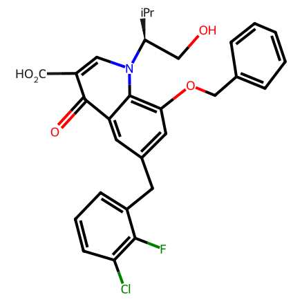 CC(C)[C@@H](CO)n1cc(C(=O)O)c(=O)c2cc(Cc3cccc(Cl)c3F)cc(OCc3ccccc3)c21